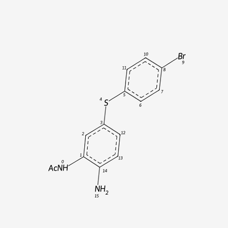 CC(=O)Nc1cc(Sc2ccc(Br)cc2)ccc1N